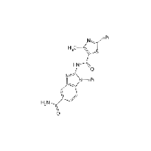 CCCc1nc(C)c(C(=O)Nc2nc3cc(C(N)=O)ccc3n2CCC)s1